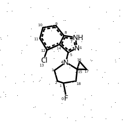 FC1CCN(c2n[nH]c3cccc(Cl)c23)C2(CC2)C1